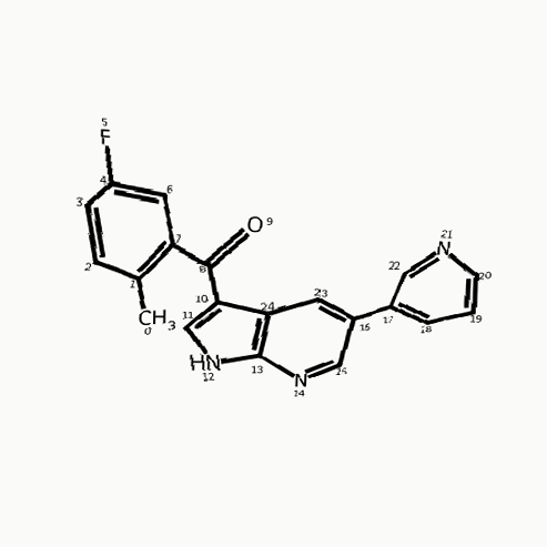 Cc1ccc(F)cc1C(=O)c1c[nH]c2ncc(-c3cccnc3)cc12